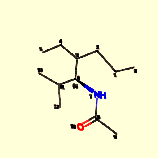 CCCC(CC)[C@@H](NC(C)=O)C(C)C